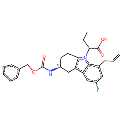 C=CCc1cc(F)cc2c3c(n(C(CC)C(=O)O)c12)CC[C@H](NC(=O)OCc1ccccc1)C3